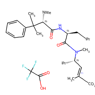 CN[C@H](C(=O)N[C@@H](CC(C)C)C(=O)N(C)[C@H](/C=C(\C)C(=O)O)C(C)C)C(C)(C)c1ccccc1.O=C(O)C(F)(F)F